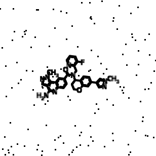 Cn1cc(-c2ccc3c(c2)OCCC3N(Cc2ncccc2F)C(=O)c2ccc3nc(N)c4cnn(C)c4c3c2)cn1